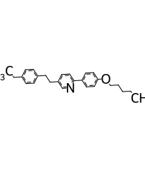 CCCCCOc1ccc(-c2ccc(CCc3ccc(CC)cc3)cn2)cc1